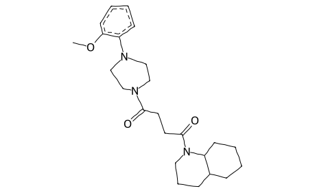 COc1ccccc1N1CCN(C(=O)CCC(=O)N2CCCC3CCCCC32)CC1